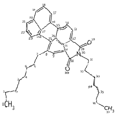 CCCCCCCCc1cc2c3c(ccc4c5cccc6cccc(c1c34)c65)C(=O)N(CCCCCCC)C2=O